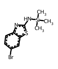 C[Si](C)(C)Nc1nc2ccc(Br)cc2s1